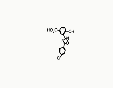 O=C(O)c1ccc(O)c(-c2noc(-c3ccc(Cl)cc3)n2)c1